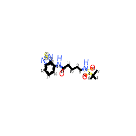 CC(C)(C)S(=O)(=O)NCCCCC(=O)Nc1cccc2nsnc12